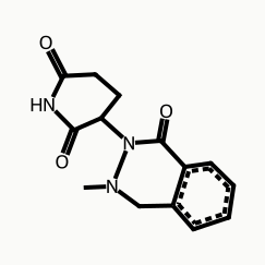 CN1Cc2ccccc2C(=O)N1C1CCC(=O)NC1=O